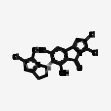 O=C1c2c(cc(O)c([C@@H]3CCc4cc(Cl)c(Cl)n43)c2O)-c2cc(Cl)c(Cl)n21